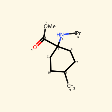 COC(=O)C1(NC(C)C)CCC(C(F)(F)F)CC1